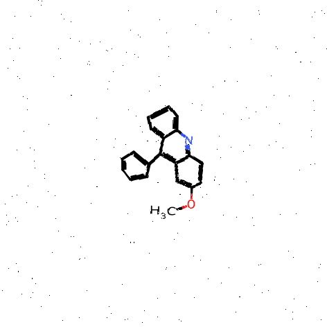 COc1ccc2nc3ccccc3c(-c3ccccc3)c2c1